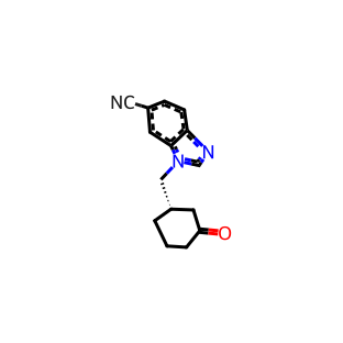 N#Cc1ccc2ncn(C[C@H]3CCCC(=O)C3)c2c1